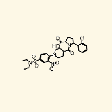 CCN(CC)S(=O)(=O)c1ccc(N2CCC(C(=O)N3C(c4ccccc4Cl)CC[C@H]3C(=O)O)CC2)c([N+](=O)[O-])c1